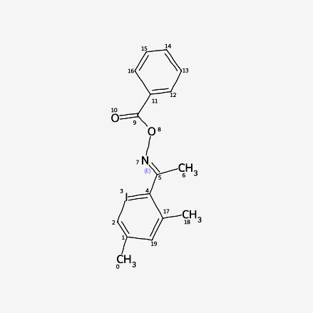 CC1=CI=C(/C(C)=N/OC(=O)c2ccccc2)C(C)=C1